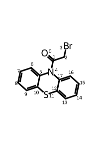 O=C(CBr)N1c2ccccc2Sc2ccccc21